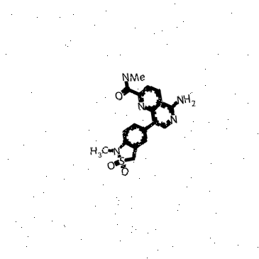 CNC(=O)c1ccc2c(N)ncc(-c3ccc4c(c3)CS(=O)(=O)N4C)c2n1